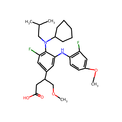 COCC(CC(=O)O)c1cc(F)c(N(CC(C)C)C2CCCCC2)c(Nc2ccc(OC)cc2F)c1